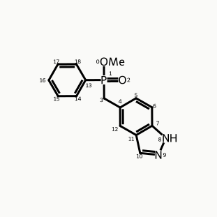 COP(=O)(Cc1ccc2[nH]ncc2c1)c1ccccc1